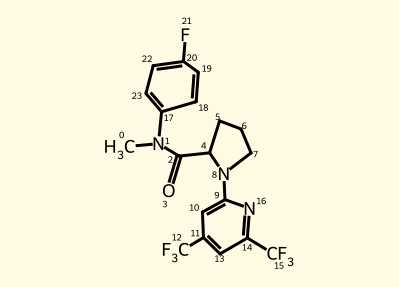 CN(C(=O)C1CCCN1c1cc(C(F)(F)F)cc(C(F)(F)F)n1)c1ccc(F)cc1